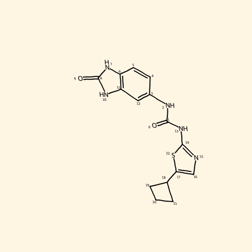 O=C(Nc1ccc2[nH]c(=O)[nH]c2c1)Nc1ncc(C2CCC2)s1